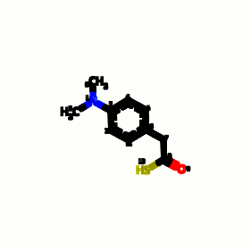 CN(C)c1ccc(CC(=O)S)cc1